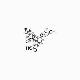 CC(C)(O)CCOc1ccc(C=CC(=O)O)c(Oc2ncc(C(F)(F)F)cc2Cl)c1